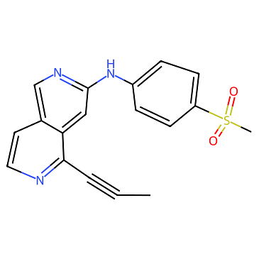 CC#Cc1nccc2cnc(Nc3ccc(S(C)(=O)=O)cc3)cc12